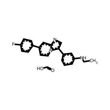 CCNc1cccc(-c2cnc3cc(-c4ccc(F)cc4)ccn23)c1.O=CO